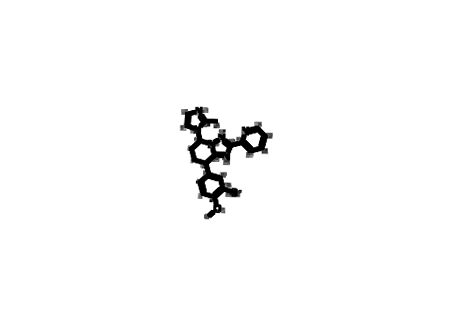 COc1ccc(C2CCC(n3ccnc3C)n3nc(-c4ccccn4)nc32)cc1Br